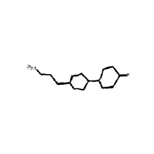 CCCC(C)CCCC1CCC(C2CCC(F)CC2)CC1